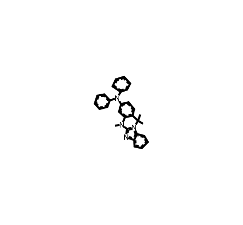 CN1c2cc(N(c3ccccc3)c3ccccc3)ccc2C(C)(C)n2c1nc1ccccc12